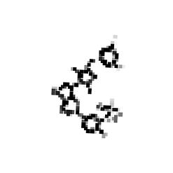 Cc1nn(Cc2cc(F)cc(F)c2)c(C)c1-c1c[nH]c2ncc(-c3ccc(F)c(NS(C)(=O)=O)c3)cc12